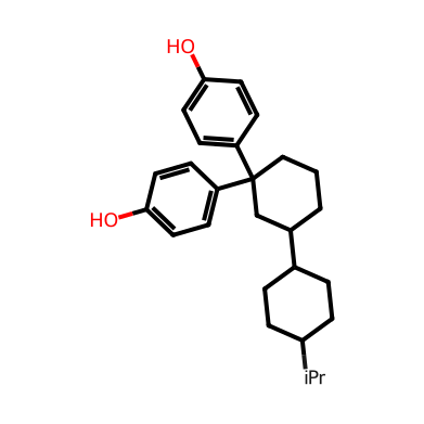 CC(C)C1CCC(C2CCCC(c3ccc(O)cc3)(c3ccc(O)cc3)C2)CC1